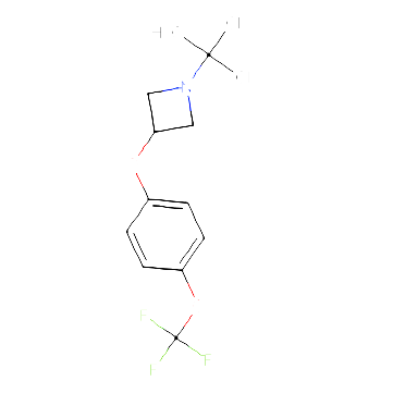 CC(C)(C)N1CC(Oc2ccc(OC(F)(F)F)cc2)C1